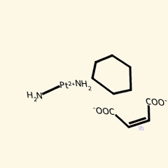 C1CCCCC1.O=C([O-])/C=C\C(=O)[O-].[NH2][Pt+2][NH2]